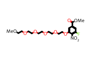 COCCOCCOCCOCCOCCOc1cc(C(=O)OC)cc(F)c1[N+](=O)[O-]